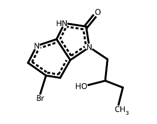 CCC(O)Cn1c(=O)[nH]c2ncc(Br)cc21